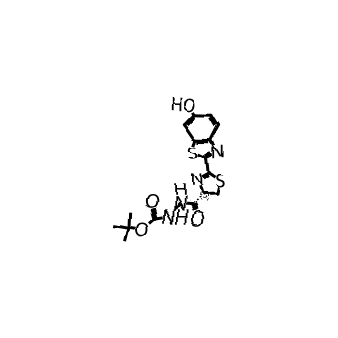 CC(C)(C)OC(=O)NNC(=O)[C@H]1CSC(c2nc3ccc(O)cc3s2)=N1